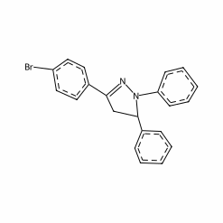 Brc1ccc(C2=NN(c3ccccc3)C(c3ccccc3)C2)cc1